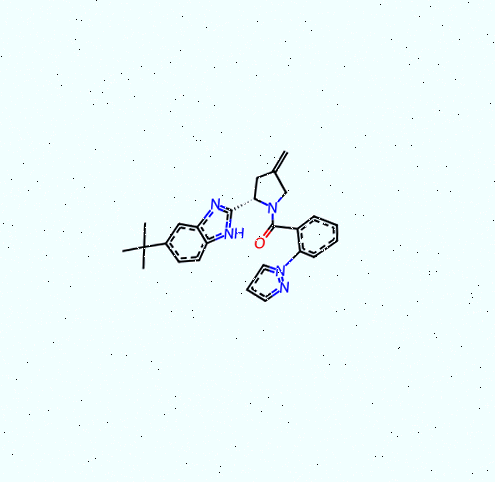 C=C1C[C@@H](c2nc3cc(C(C)(C)C)ccc3[nH]2)N(C(=O)c2ccccc2-n2cccn2)C1